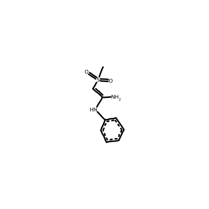 CS(=O)(=O)C=C(N)Nc1ccccc1